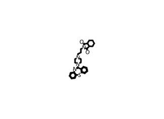 O=C1C2CCCCC2C(=O)N1CCCN1CCN(C2=Nc3ccccc3Sc3ccccc32)CC1